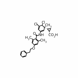 Cc1cc(OCCc2ccccc2)cc(C)c1C(=O)NC1=CC(C)([C@@H]2C[C@@H]2C(=O)O)C(Cl)C(Cl)=C1